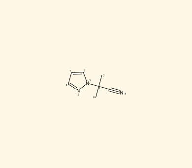 CC(C)(C#N)n1cccn1